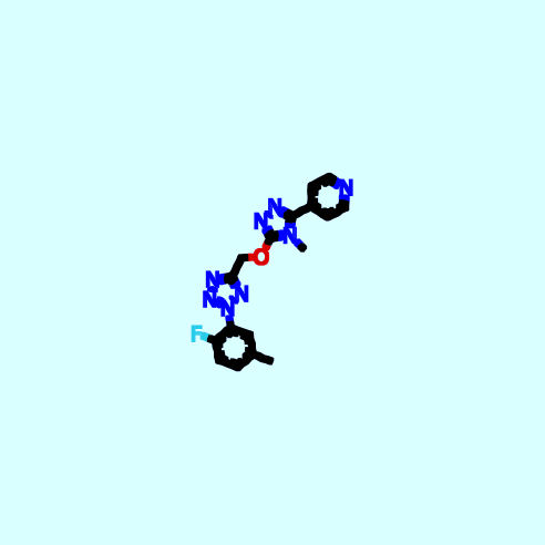 Cc1ccc(F)c(-n2nnc(COc3nnc(-c4ccncc4)n3C)n2)c1